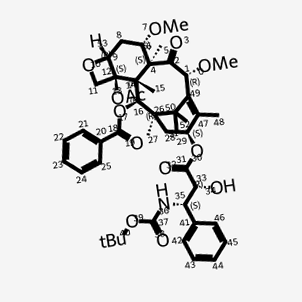 CO[C@H]1C(=O)[C@]2(C)[C@@H](OC)C[C@H]3OC[C@@]3(OC(C)=O)[C@@]2(C)[C@H](OC(=O)c2ccccc2)[C@]2(C)C[C@H](OC(=O)[C@H](O)[C@@H](NC(=O)OC(C)(C)C)c3ccccc3)C(C)=C1C2(C)C